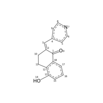 O=C1C(=Cc2ccncc2)CCc2c(O)cccc21